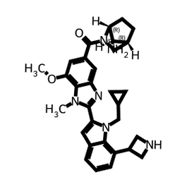 COc1cc(C(=O)N2C[C@H]3CC[C@@H]2[C@@H]3N)cc2nc(-c3cc4cccc(C5CNC5)c4n3CC3CC3)n(C)c12